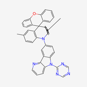 Cc1ccc2c(c1)C1(c3ccccc3Oc3ccccc31)c1cc(C)ccc1N2c1ccc2c(c1)c1ncccc1n2-c1ncncn1